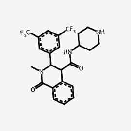 CN1C(=O)c2ccccc2C(C(=O)NC2CCNCC2)C1c1cc(C(F)(F)F)cc(C(F)(F)F)c1